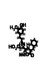 COC(=O)[C@H](CC1CCCCC1)NC(=O)[C@H](CC(=O)O)NCCCc1ccc(O)c(C)c1